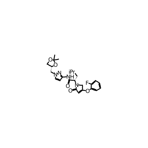 CC(C)C[C@@H](C(=O)Nc1ccn(C[C@@H]2COC(C)(C)O2)n1)N1CC(Oc2ccccc2F)=CC1=O